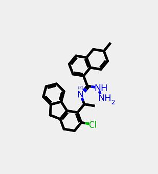 CC1C=Cc2c(cccc2/C(=N/C(C)C2=C(Cl)CCC3=C2c2ccccc2C3)NN)C1